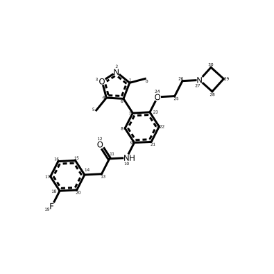 Cc1noc(C)c1-c1cc(NC(=O)Cc2cccc(F)c2)ccc1OCCN1CCC1